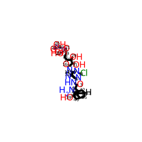 NC(C(=O)Nc1nc(Cl)nc2c1ncn2C1OC(CCP(=O)(O)CP(=O)(O)O)C(O)C1O)C12CC3C[C@@H](CC(O)(C3)C1)C2